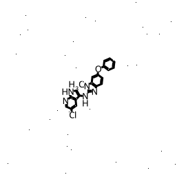 Cn1c(Nc2c[nH]c3ncc(Cl)cc23)nc2ccc(Oc3ccccc3)cc21